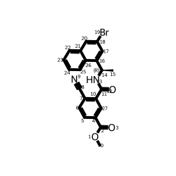 COC(=O)c1ccc(C#N)c(C(=O)N[C@H](C)c2cc(Br)cc3ccccc23)c1